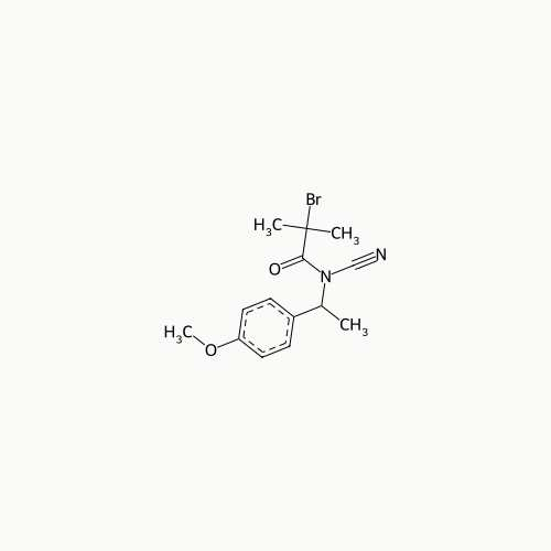 COc1ccc(C(C)N(C#N)C(=O)C(C)(C)Br)cc1